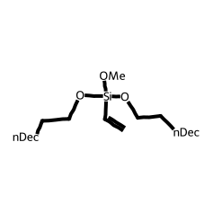 C=C[Si](OC)(OCCCCCCCCCCCC)OCCCCCCCCCCCC